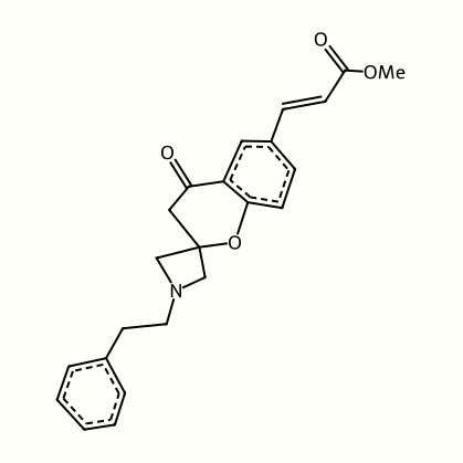 COC(=O)C=Cc1ccc2c(c1)C(=O)CC1(CN(CCc3ccccc3)C1)O2